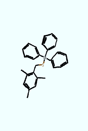 Cc1cc(C)c(C[S][Sn]([c]2ccccc2)([c]2ccccc2)[c]2ccccc2)c(C)c1